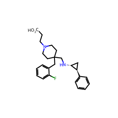 O=C(O)CCN1CCC(CN[C@@H]2C[C@H]2c2ccccc2)(Cc2ccccc2F)CC1